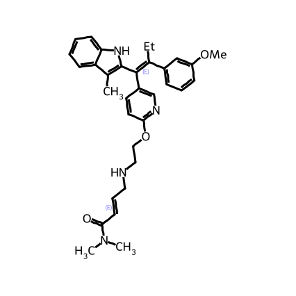 CC/C(=C(/c1ccc(OCCNC/C=C/C(=O)N(C)C)nc1)c1[nH]c2ccccc2c1C)c1cccc(OC)c1